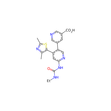 CCNC(=O)Nc1cc(-c2sc(C)nc2C)c(-c2cncc(C(=O)O)c2)cn1